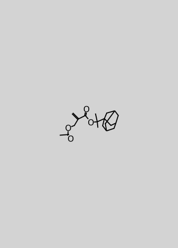 C=C(COC(C)=O)C(=O)OC(C)(C)C12CC3CC(CC(C3)C1)C2